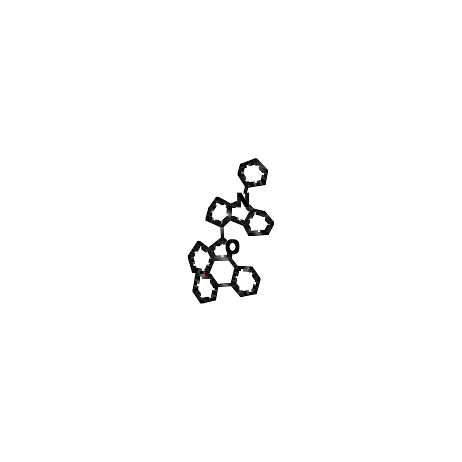 c1ccc(-c2ccccc2-c2oc(-c3cccc4c3c3ccccc3n4-c3ccccc3)c3ccccc23)cc1